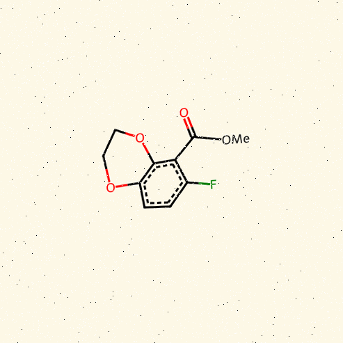 COC(=O)c1c(F)ccc2c1OCCO2